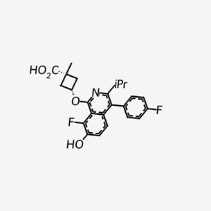 CC(C)c1nc(O[C@H]2C[C@@](C)(C(=O)O)C2)c2c(F)c(O)ccc2c1-c1ccc(F)cc1